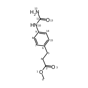 COC(=O)CCc1ccc(NC(N)=O)cc1